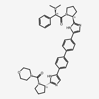 CN(C)[C@@H](C(=O)N1CCC[C@H]1c1ncc(-c2ccc(-c3ccc(-c4cnc([C@@H]5CCCN5C(=O)N5CCOCC5)[nH]4)cc3)cc2)[nH]1)c1ccccc1